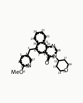 COc1ccc(Cc2cc3c(=O)n(C4CCOCC4)cnc3c3ccccc23)cn1